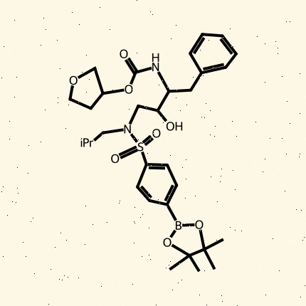 CC(C)CN(CC(O)C(Cc1ccccc1)NC(=O)OC1CCOC1)S(=O)(=O)c1ccc(B2OC(C)(C)C(C)(C)O2)cc1